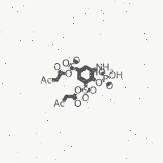 CC(=O)CC(=O)OS(=O)(=O)c1cc(N)c(OP(=O)(O)O)c(S(=O)(=O)OC(=O)CC(C)=O)c1